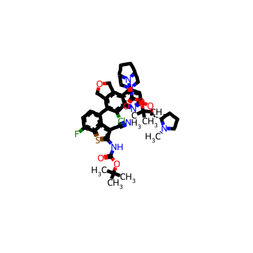 CN1CCC[C@H]1COc1cc(N2C3CCC2CN(C(=O)OC(C)(C)C)C3)c2c3c(c(-c4ccc(F)c5sc(NC(=O)OC(C)(C)C)c(C#N)c45)c(Cl)c2n1)COC3